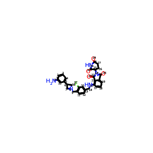 Nc1cccc(C2CN(Cc3ccc(CNc4cccc5c4C(=O)N(C4CCC(=O)NC4=O)C5=O)cc3F)C2)c1